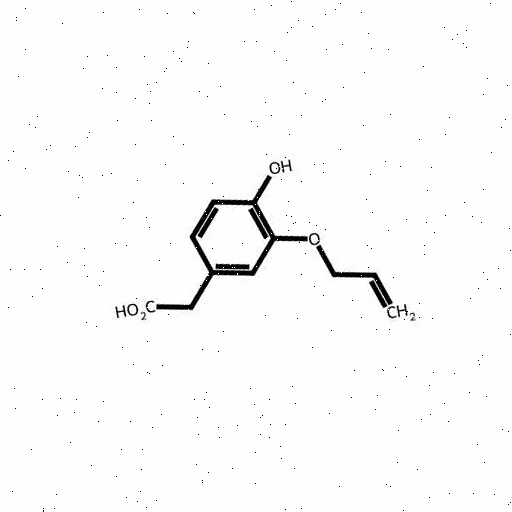 C=CCOc1cc(CC(=O)O)ccc1O